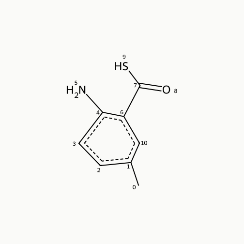 Cc1ccc(N)c(C(=O)S)c1